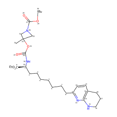 CCOC(=O)[C@H](CCCCCCCc1ccc2c(n1)NCCC2)NC(=O)OC1(C)CN(C(=O)OC(C)(C)C)C1